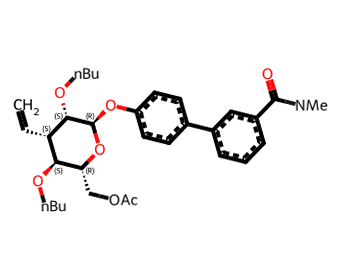 C=C[C@@H]1[C@H](OCCCC)[C@@H](Oc2ccc(-c3cccc(C(=O)NC)c3)cc2)O[C@H](COC(C)=O)[C@H]1OCCCC